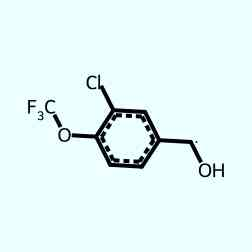 O[CH]c1ccc(OC(F)(F)F)c(Cl)c1